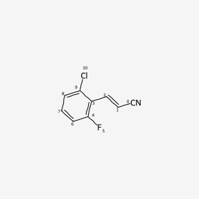 N#C/C=C/c1c(F)cccc1Cl